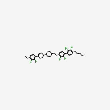 CCCCCc1ccc(-c2ccc(CCC3CCC(C4CC=C(c5ccc(CC)c(F)c5F)CC4)CC3)c(F)c2F)c(F)c1F